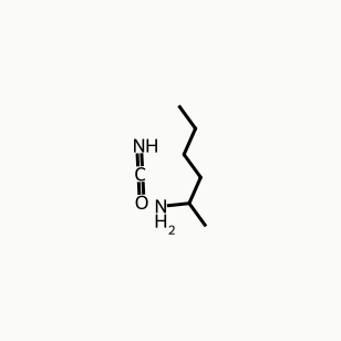 CCCCC(C)N.N=C=O